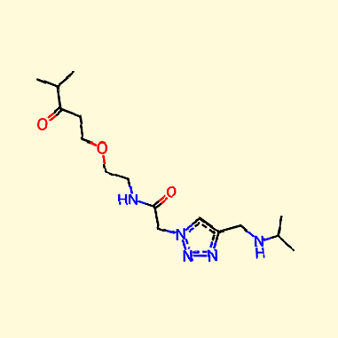 CC(C)NCc1cn(CC(=O)NCCOCCC(=O)C(C)C)nn1